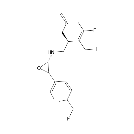 C=NC[C@H](CN[C@H]1OC1C(/C=C\C(C)CF)=C/C)/C(CI)=C(\C)F